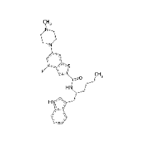 CCCCC(Cc1c[nH]c2ccccc12)NC(=O)c1cc2c(F)cc(N3CCN(C)CC3)cc2s1